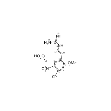 CC(=O)O.COc1cc(Cl)c([N+](=O)[O-])cc1C=NNC(=N)N